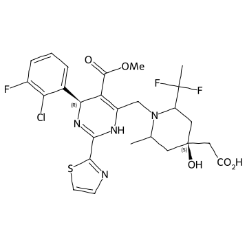 COC(=O)C1=C(CN2C(C)C[C@@](O)(CC(=O)O)CC2C(C)(F)F)NC(c2nccs2)=N[C@H]1c1cccc(F)c1Cl